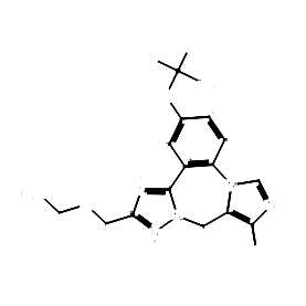 CCOCc1nc2n(n1)Cc1c(C)ncn1-c1ccc(OC(F)(F)F)cc1-2